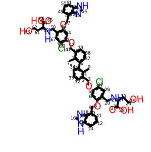 Cc1c(COc2cc(OCc3cccc4[nH]cnc34)c(CNC(CCO)C(=O)O)cc2Cl)cccc1-c1cccc(COc2cc(OCc3cccc4[nH]cnc34)c(CNC(CCO)C(=O)O)cc2Cl)c1C